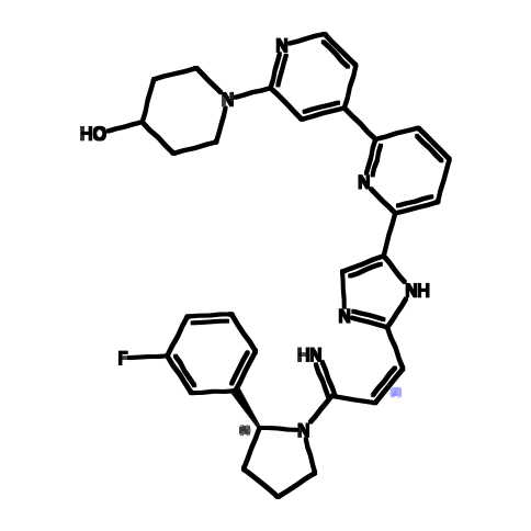 N=C(/C=C\c1ncc(-c2cccc(-c3ccnc(N4CCC(O)CC4)c3)n2)[nH]1)N1CCC[C@H]1c1cccc(F)c1